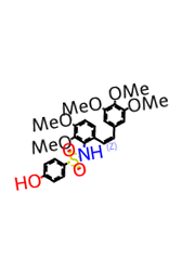 COc1cc(/C=C\c2ccc(OC)c(OC)c2NS(=O)(=O)c2ccc(O)cc2)cc(OC)c1OC